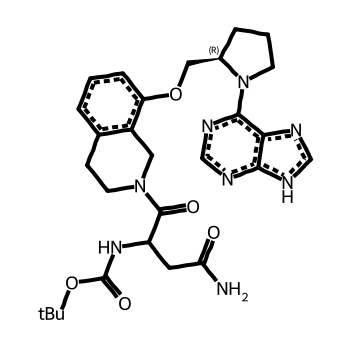 CC(C)(C)OC(=O)NC(CC(N)=O)C(=O)N1CCc2cccc(OC[C@H]3CCCN3c3ncnc4[nH]cnc34)c2C1